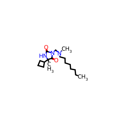 CCCCCCCCN(C)CN1C(=O)NC(C)(C2CCC2)C1=O